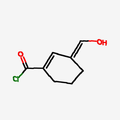 O=C(Cl)C1=CC(=CO)CCC1